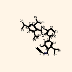 C#C/C=C\c1c(C)cc(-c2nccc3nc(-c4c(C(C)C)cc(C(C)C)cc4C(C)C)sc23)cc1C(C)C